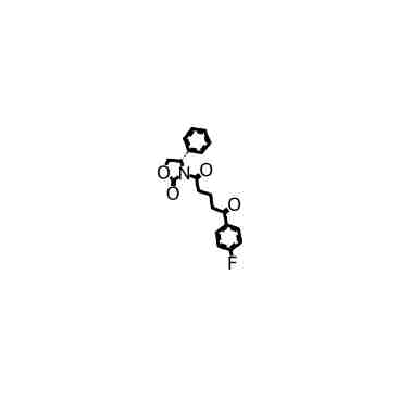 O=C(CCCC(=O)N1C(=O)OC[C@@H]1c1ccccc1)c1ccc(F)cc1